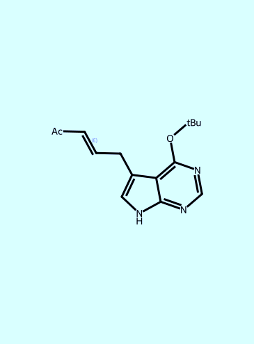 CC(=O)/C=C/Cc1c[nH]c2ncnc(OC(C)(C)C)c12